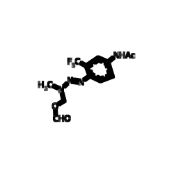 CC(=O)Nc1ccc(/N=N/N(C)COC=O)c(C(F)(F)F)c1